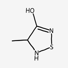 CC1NSN=C1O